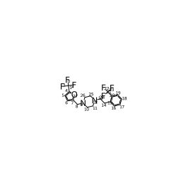 FC(F)(F)c1ccc(CN2CCN(CCc3ccccc3C(F)(F)F)CC2)o1